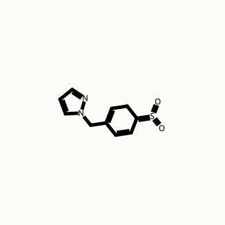 O=S(=O)=C1C=CC(Cn2cccn2)=CC1